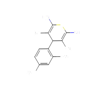 COc1ccc(C2C(C#N)=C(N)SC(N)=C2C#N)c(OC)c1